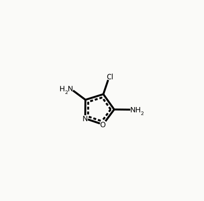 Nc1noc(N)c1Cl